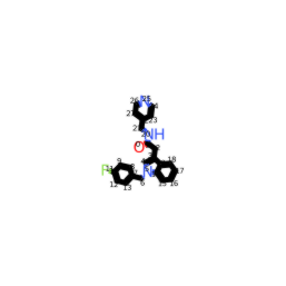 O=C(Cc1cn(Cc2ccc(F)cc2)c2ccccc12)NCc1ccncc1